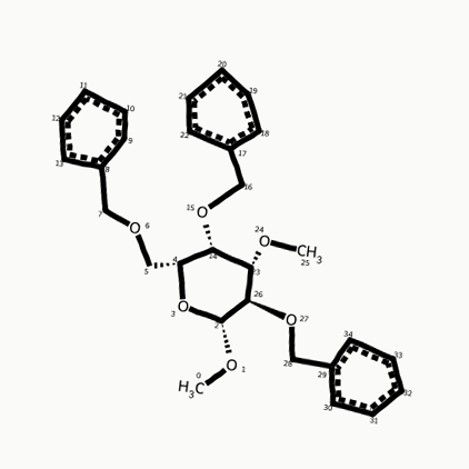 CO[C@@H]1O[C@H](COCc2ccccc2)[C@H](OCc2ccccc2)[C@H](OC)[C@H]1OCc1ccccc1